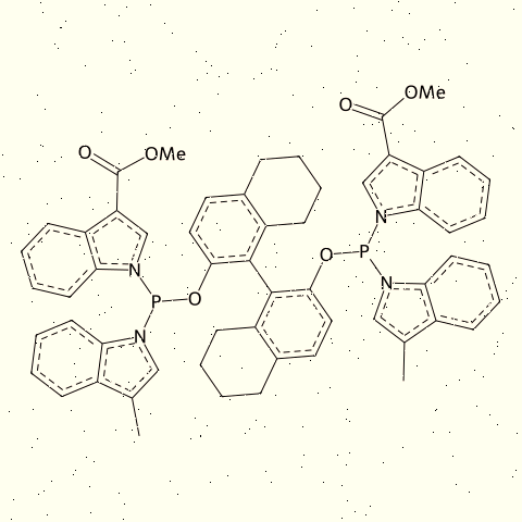 COC(=O)c1cn(P(Oc2ccc3c(c2-c2c(OP(n4cc(C)c5ccccc54)n4cc(C(=O)OC)c5ccccc54)ccc4c2CCCC4)CCCC3)n2cc(C)c3ccccc32)c2ccccc12